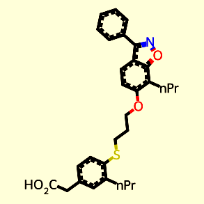 CCCc1cc(CC(=O)O)ccc1SCCCOc1ccc2c(-c3ccccc3)noc2c1CCC